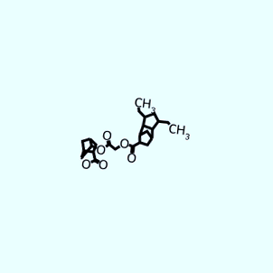 CCC1CC(CC)C2C3CC(CC3C(=O)OCC(=O)OC3C4CC5C(=O)OC3C5C4)C12